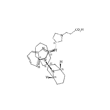 O=C(O)CCN1CC[C@@H](Cc2nc3ccccc3n2[C@@H]2C[C@H]3CCC[C@@H](C2)N3[C@H]2C[C@@H]3CCCC[C@@H](C3)C2)C1